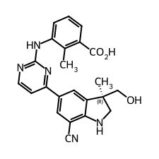 Cc1c(Nc2nccc(-c3cc(C#N)c4c(c3)[C@@](C)(CO)CN4)n2)cccc1C(=O)O